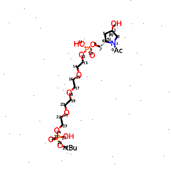 CC(=O)N1C[C@H](O)C[C@H]1COP(=O)(O)OCCOCCOCCOCCOP(=O)(O)OC(C)(C)C